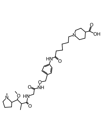 COC(C(C)C(=O)NCC(=O)NOCc1ccc(NC(=O)CCCCCN2CCC(C(=O)O)CC2)cc1)C1CCCN1C